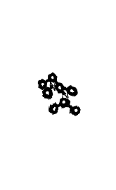 c1ccc(-c2cc(-c3ccccc3)cc(-n3c4ccccc4c4cc5c6cccc(-c7ccccc7)c6n(-c6ccccc6)c5cc43)c2)cc1